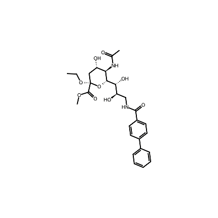 CCO[C@]1(C(=O)OC)C[C@H](O)[C@@H](NC(C)=O)[C@H]([C@H](O)[C@H](O)CNC(=O)c2ccc(-c3ccccc3)cc2)O1